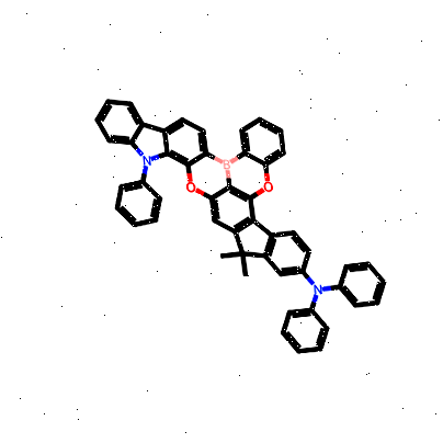 CC1(C)c2cc(N(c3ccccc3)c3ccccc3)ccc2-c2c1cc1c3c2Oc2ccccc2B3c2ccc3c4ccccc4n(-c4ccccc4)c3c2O1